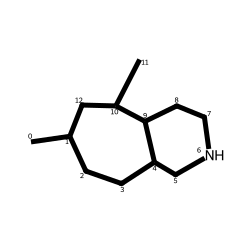 CC1CCC2CNCCC2C(C)C1